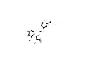 COC(=O)c1cc(NC(=O)[C@@H]2OC(C)(C)[C@@H](OC)[C@H]2c2ccc(F)c(F)c2OC)ccn1